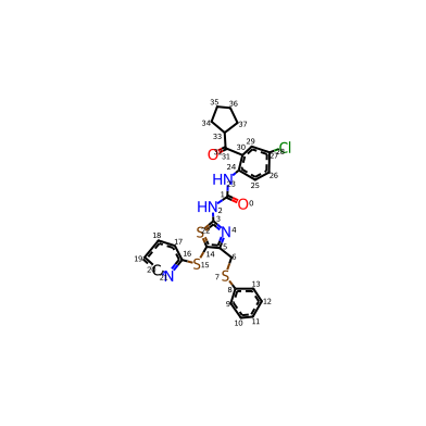 O=C(Nc1nc(CSc2ccccc2)c(Sc2ccccn2)s1)Nc1ccc(Cl)cc1C(=O)C1CCCC1